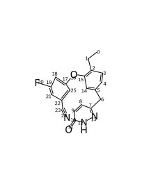 CCc1ccc(Cc2ccc(=O)[nH]n2)cc1Oc1cc(F)cc(C#N)c1